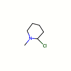 CN1CCCCC1Cl